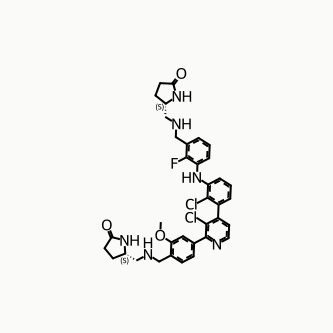 COc1cc(-c2nccc(-c3cccc(Nc4cccc(CNC[C@@H]5CCC(=O)N5)c4F)c3Cl)c2Cl)ccc1CNC[C@@H]1CCC(=O)N1